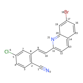 N#Cc1ccc(Cl)cc1C=Cc1ccc2ccc(Br)cc2n1